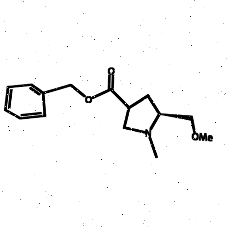 COC[C@@H]1CC(C(=O)OCc2ccccc2)CN1C